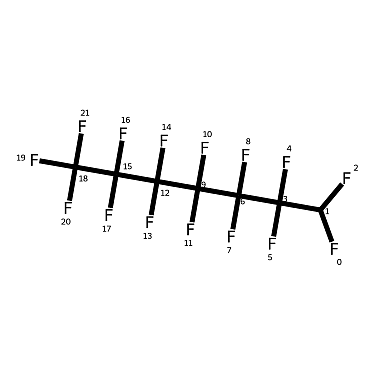 FC(F)C(F)(F)C(F)(F)C(F)(F)C(F)(F)C(F)(F)C(F)(F)F